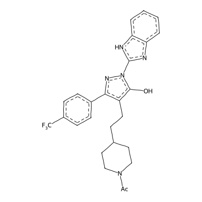 CC(=O)N1CCC(CCc2c(-c3ccc(C(F)(F)F)cc3)nn(-c3nc4ccccc4[nH]3)c2O)CC1